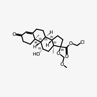 COCO[C@]1(C(=O)OCCl)CC[C@H]2[C@@H]3CCC4=CC(=O)CC[C@]4(C)[C@H]3[C@@H](O)C[C@@]21C